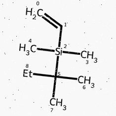 C=C[Si](C)(C)C(C)(C)CC